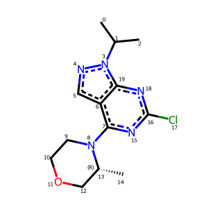 CC(C)n1ncc2c(N3CCOC[C@H]3C)nc(Cl)nc21